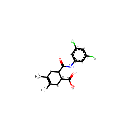 CC1=C(C)CC(C(=O)Nc2cc(Cl)cc(Cl)c2)C(C(=O)O)C1